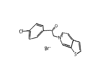 O=C(C[n+]1ccc2ccsc2c1)c1ccc(Cl)cc1.[Br-]